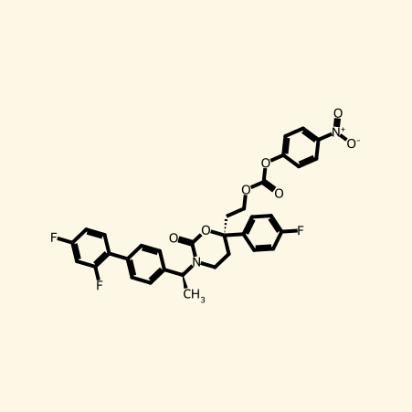 C[C@@H](c1ccc(-c2ccc(F)cc2F)cc1)N1CC[C@](CCOC(=O)Oc2ccc([N+](=O)[O-])cc2)(c2ccc(F)cc2)OC1=O